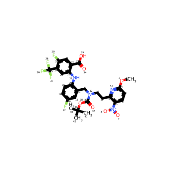 COc1ccc([N+](=O)[O-])c(CCN(Cc2cc(F)ccc2Nc2cc(C(F)(F)F)c(F)cc2C(=O)O)C(=O)OC(C)(C)C)n1